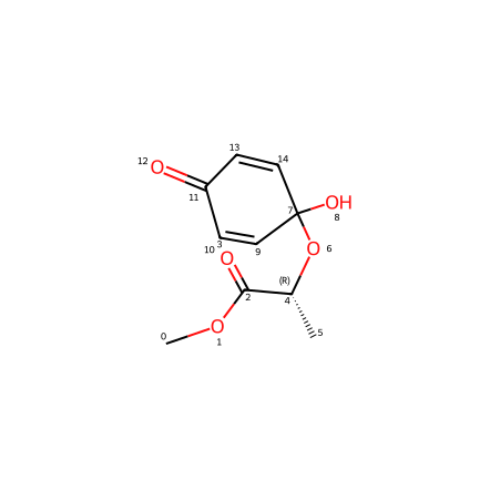 COC(=O)[C@@H](C)OC1(O)C=CC(=O)C=C1